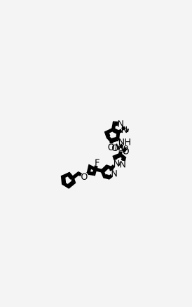 COc1ccc2cnn(C)c2c1NS(=O)(=O)c1cnn(-c2cc(C3(F)CC(OCc4ccccc4)C3)ccn2)c1